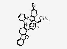 C/C=C\c1c(C)n(-c2ccccc2-n2c3c(c4ccccc42)-c2oc4ccccc4c2CC3)c2cc(Br)ccc12